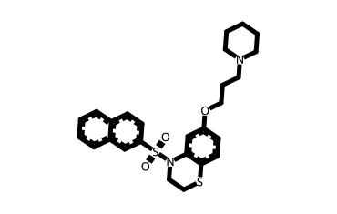 O=S(=O)(c1ccc2ccccc2c1)N1CCSc2ccc(OCCCN3CCCCC3)cc21